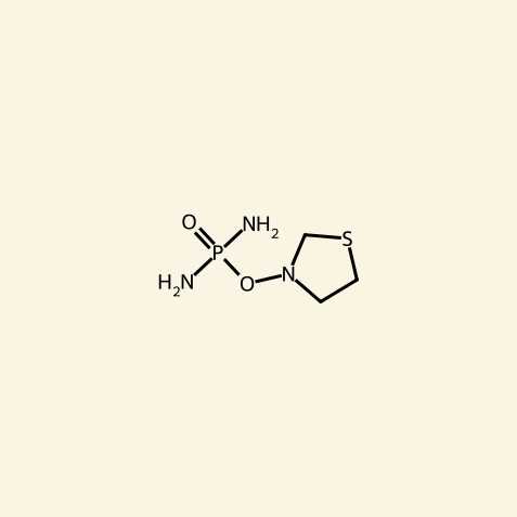 NP(N)(=O)ON1CCSC1